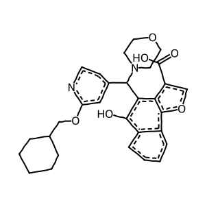 O=C(O)c1coc2c1c(C(c1ccnc(OCC3CCCCC3)c1)N1CCOCC1)c(O)c1ccccc12